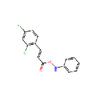 O=C(C=Cc1ccc(Cl)cc1Cl)ONc1ccccc1